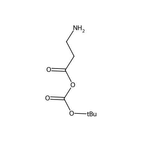 CC(C)(C)OC(=O)OC(=O)CCN